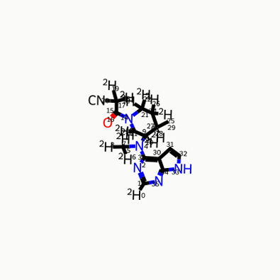 [2H]c1nc(N(C([2H])([2H])[2H])[C@@]2([2H])C([2H])([2H])N(C(=O)C([2H])([2H])[N+]#[C-])C([2H])([2H])C([2H])([2H])[C@@]2([2H])C)c2cc[nH]c2n1